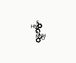 O=c1[nH]c(N2CCC3(CC2)CNc2c(F)cccc23)nc2c1CCCC2